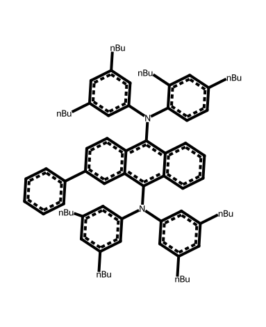 CCCCc1cc(CCCC)cc(N(c2cc(CCCC)cc(CCCC)c2)c2c3ccccc3c(N(c3cc(CCCC)cc(CCCC)c3)c3ccc(CCCC)cc3CCCC)c3ccc(-c4ccccc4)cc23)c1